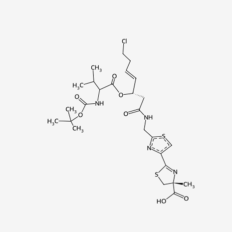 CC(C)C(NC(=O)OC(C)(C)C)C(=O)O[C@H](/C=C/CCCl)CC(=O)NCc1nc(C2=N[C@](C)(C(=O)O)CS2)cs1